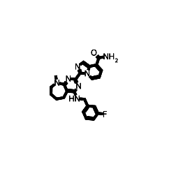 CN1CCCCc2c(NCc3cccc(F)c3)nc(-c3ncc4c(C(N)=O)cccn34)nc21